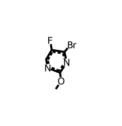 COc1ncc(F)c(Br)n1